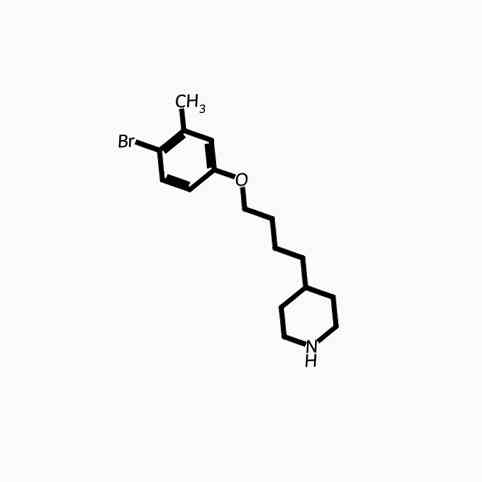 Cc1cc(OCCCCC2CCNCC2)ccc1Br